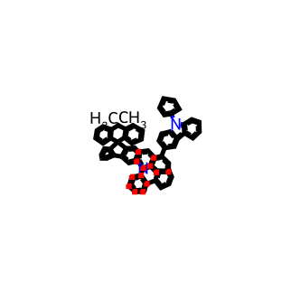 CC1(C)c2ccccc2C2(c3ccccc3-c3cc(N(c4cccc(-c5ccc6c(c5)c5ccccc5n6-c5ccccc5)c4)C4C=CC=CC4c4ccccc4-c4ccccc4-c4ccccc4)ccc32)c2ccccc21